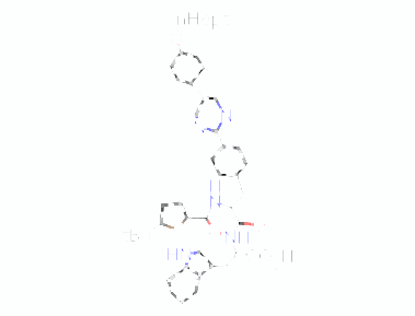 CCCCCCCOc1ccc(-c2cnc(-c3ccc(CC(NC(=O)c4ccc(C(C)(C)C)s4)C(=O)N[C@@H](Cc4c[nH]c5ccccc45)C(=O)O)cc3)nc2)cc1